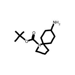 CC(C)(C)OC(=O)N1CCCC12CCC(N)CC2